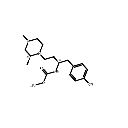 C[C@H]1CN(C)CCN1CC[C@@H](Cc1ccc(C#N)cc1)NC(=O)OC(C)(C)C